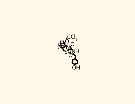 CCCCN(C)C1=C(C(=O)OCC(Cl)(Cl)Cl)N2C(=O)C(NC(=O)Cc3ccc(O)cc3)[C@H]2SC1